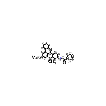 COc1cc2c3c(nc4ccccc4c3c1)-c1ccc(/C=C/C(=O)N3CCOCC3)cc1N2C